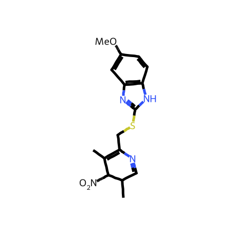 COc1ccc2[nH]c(SCC3=C(C)C([N+](=O)[O-])C(C)C=N3)nc2c1